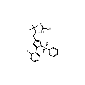 CC(C)(C)C(Cc1cc(-c2cccnc2F)n(S(=O)(=O)c2ccccc2)c1)NC(=O)O